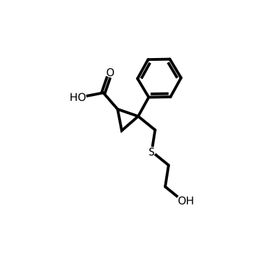 O=C(O)C1CC1(CSCCO)c1ccccc1